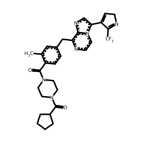 Cc1cc(Cc2nccn3c(C4=CCN=C4C(F)(F)F)cnc23)ccc1C(=O)N1CCN(C(=O)C2CCCC2)CC1